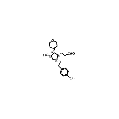 CC(C)(C)c1ccc(CO[C@@H]2C[C@H](O)[C@@H](N3CCOCC3)[C@@H]2CCC=O)cc1